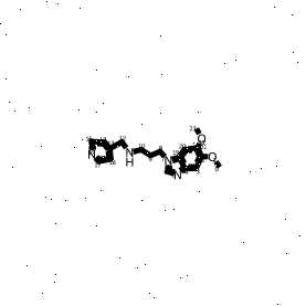 COc1cc2ncn(CCCNCc3ccncc3)c2cc1OC